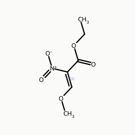 CCOC(=O)/C(=C/OC)[N+](=O)[O-]